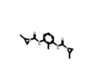 Cc1c(NC(=O)N2CC2C)cccc1NC(=O)N1CC1C